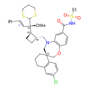 CCS(=O)(=O)NC(=O)c1ccc2c(c1)N(C[C@@H]1CC[C@H]1[C@@](/C=C/C(C)C)(OC)C1SCCCS1)C[C@@]1(CCCc3cc(Cl)ccc31)CO2